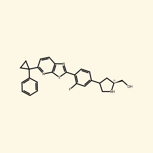 OC[C@@H]1CC(c2ccc(-c3nc4ccc(C5(c6ccccc6)CC5)nc4s3)c(F)c2)CN1